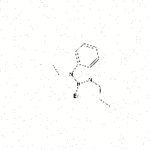 CCCN1B(Br)N(CCC)c2ccccc21